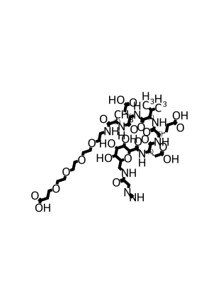 CC(C)[C@H](NC(=O)[C@H](CCC(=O)O)NC(=O)[C@H](CC(=O)O)NC(=O)C1OC(CNC(=O)CN=N)C(O)C(O)C1O)C(=O)N[C@@H](CC(=O)O)C(=O)N[C@@H](C)C(=O)NCCOCCOCCOCCOCCC(=O)O